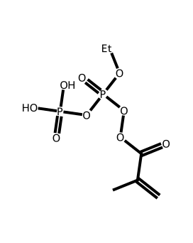 C=C(C)C(=O)OOP(=O)(OCC)OP(=O)(O)O